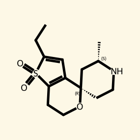 CCC1=CC2=C(CCO[C@@]23CCN[C@@H](C)C3)S1(=O)=O